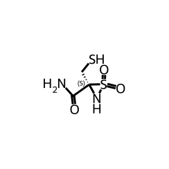 NC(=O)[C@]1(CS)NS1(=O)=O